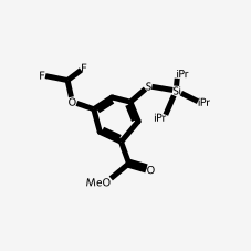 COC(=O)c1cc(OC(F)F)cc(S[Si](C(C)C)(C(C)C)C(C)C)c1